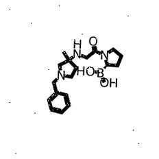 CC1(NCC(=O)N2CCC[C@H]2B(O)O)CCN(Cc2ccccc2)C1